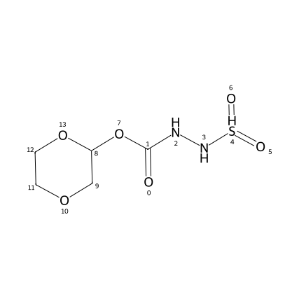 O=C(NN[SH](=O)=O)OC1COCCO1